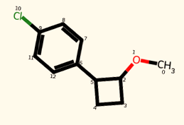 COC1CCC1c1ccc(Cl)cc1